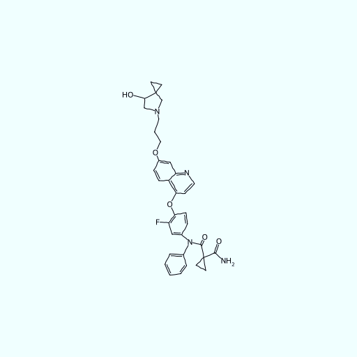 NC(=O)C1(C(=O)N(c2ccccc2)c2ccc(Oc3ccnc4cc(OCCCN5CC(O)C6(CC6)C5)ccc34)c(F)c2)CC1